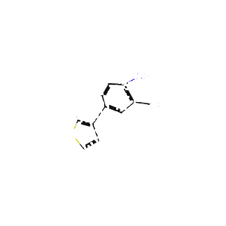 CCc1cc(-c2ccsc2)ccc1N